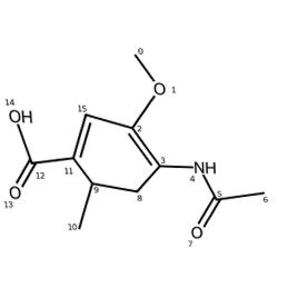 COC1=C(NC(C)=O)CC(C)C(C(=O)O)=C1